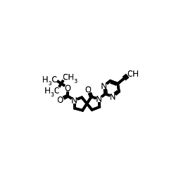 C#Cc1cnc(N2CCC3(CCN(C(=O)OC(C)(C)C)C3)C2=O)nc1